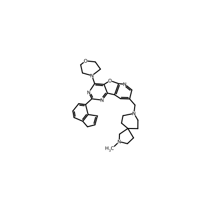 CN1CCC2(CCN(Cc3cnc4oc5c(N6CCOCC6)nc(-c6cccc7c6C=CC7)nc5c4c3)CC2)C1